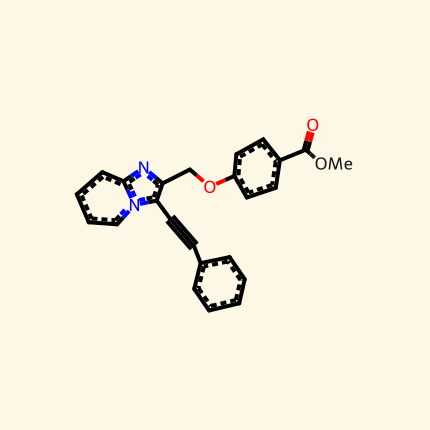 COC(=O)c1ccc(OCc2nc3ccccn3c2C#Cc2ccccc2)cc1